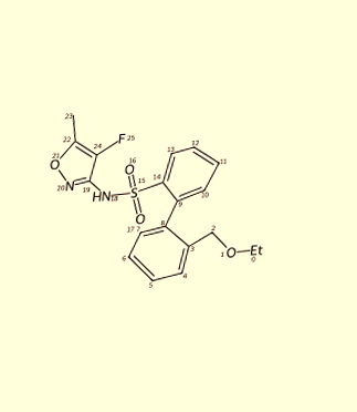 CCOCc1ccccc1-c1ccccc1S(=O)(=O)Nc1noc(C)c1F